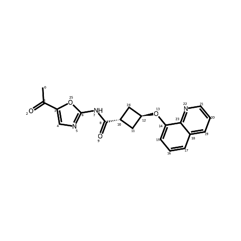 CC(=O)c1cnc(NC(=O)[C@H]2C[C@H](Oc3cccc4cccnc34)C2)o1